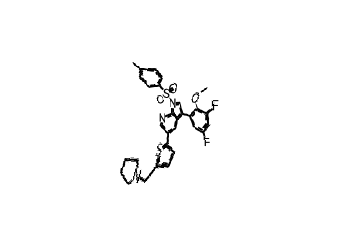 COc1c(F)cc(F)cc1-c1cn(S(=O)(=O)c2ccc(C)cc2)c2ncc(-c3ccc(CN4CCCC4)s3)cc12